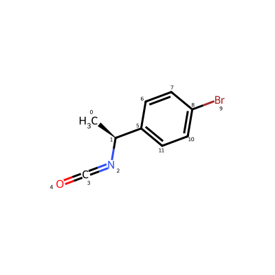 C[C@H](N=C=O)c1ccc(Br)cc1